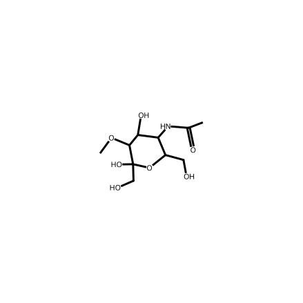 COC1C(O)C(NC(C)=O)C(CO)OC1(O)CO